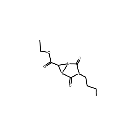 CCCCn1c(=O)n2n(c1=O)C2C(=O)OCC